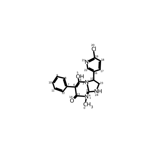 C[n+]1c2n(c(O)c(-c3ccccc3)c1=O)C(c1ccc(Cl)nc1)CN2